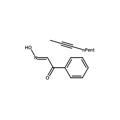 CC#CCCCCC.O=C(C=NO)c1ccccc1